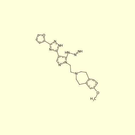 COc1ccc2c(c1)CCN(CCn1ncc(-c3nc(-c4ccco4)n[nH]3)c1NN=N)CC2